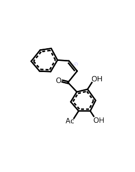 CC(=O)c1cc(C(=O)/C=C\c2ccccc2)c(O)cc1O